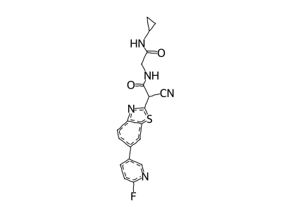 N#CC(C(=O)NCC(=O)NC1CC1)c1nc2ccc(-c3ccc(F)nc3)cc2s1